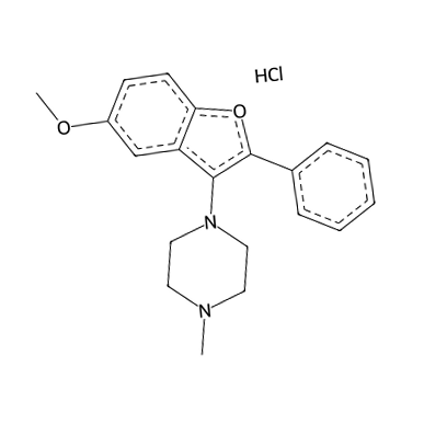 COc1ccc2oc(-c3ccccc3)c(N3CCN(C)CC3)c2c1.Cl